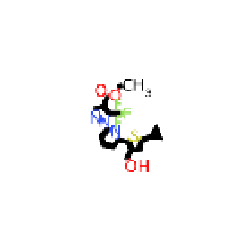 CCOC(=O)c1cnn(-c2cccc(-c3sc(C4CC4)cc3CO)n2)c1C(F)(F)F